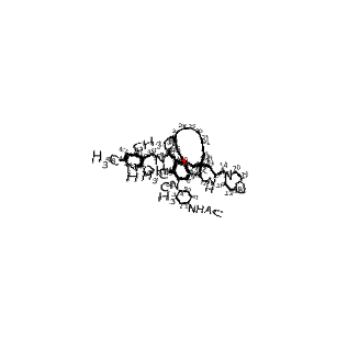 CC(=O)N[C@H]1CC[C@H](N(C)c2cc(C3CNC(CN4CCOCC4)CC34CCCCCCCCCC4)cc(C(=O)NCc3c(C)cc(C)[nH]c3=O)c2C)CC1